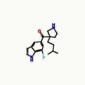 CC(C)CCC1(C(=O)c2cc(F)c3[nH]ccc3c2)CCNC1